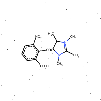 CC1=[N+](C)C(C)CN1C.O=C(O)c1cccc([N+](=O)[O-])c1C(=O)[O-]